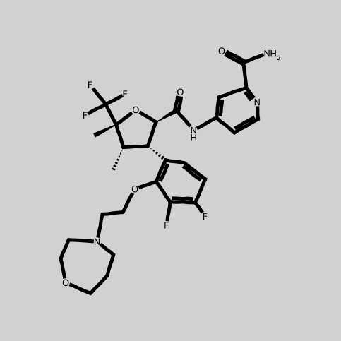 C[C@H]1[C@@H](c2ccc(F)c(F)c2OCCN2CCCOCC2)[C@H](C(=O)Nc2ccnc(C(N)=O)c2)O[C@@]1(C)C(F)(F)F